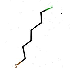 FCCCCCC[S]